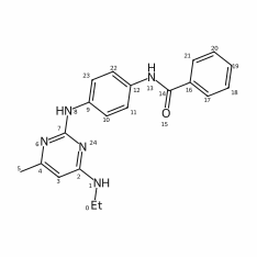 CCNc1cc(C)nc(Nc2ccc(NC(=O)c3ccccc3)cc2)n1